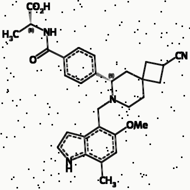 COc1cc(C)c2[nH]ccc2c1CN1CCC2(CC(C#N)C2)C[C@H]1c1ccc(C(=O)N[C@H](C)C(=O)O)cc1